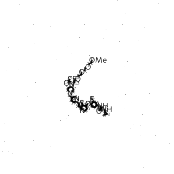 COCCOCCOCCOCCN(C(=O)C(F)(F)F)C1CCN(Cc2ccc(-c3cc4nccc(Oc5ccc(NC(=O)NC6CC6)cc5F)c4s3)nc2)CC1